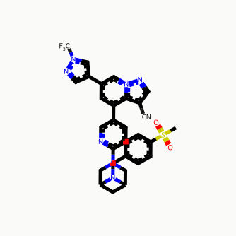 CS(=O)(=O)c1ccc(CN2C3CC2CN(c2ccc(-c4cc(-c5cnn(C(F)(F)F)c5)cn5ncc(C#N)c45)cn2)C3)cc1